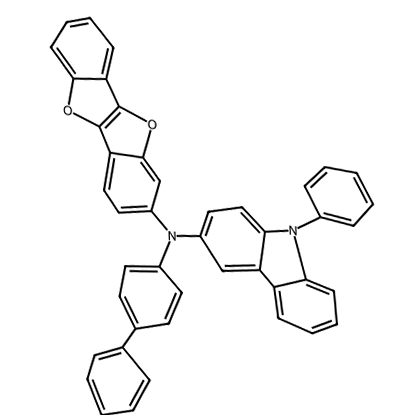 c1ccc(-c2ccc(N(c3ccc4c(c3)oc3c5ccccc5oc43)c3ccc4c(c3)c3ccccc3n4-c3ccccc3)cc2)cc1